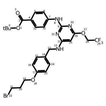 CC(C)(C)OC(=O)c1ccc(Nc2nc(NCc3ccc(OCCCBr)cc3)cc(OCC(F)(F)F)n2)cc1